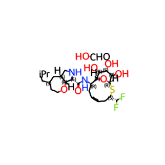 CC(C)C[C@@H]1CCO[C@@H]2[C@H](CN[C@@H]2C(=O)N[C@@H]2CC=CC[C@@H](C(F)F)S[C@H]3O[C@H]2[C@H](O)[C@H](O)[C@H]3O)C1.O=CO